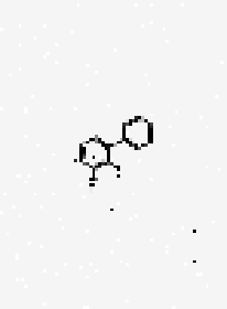 Fc1[c]ccc(-c2ccccc2)c1F